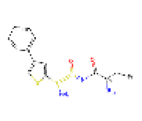 CC(C)C[C@H](N)C(=O)N=S(=O)=S(N)c1cc(-c2ccccc2)cs1